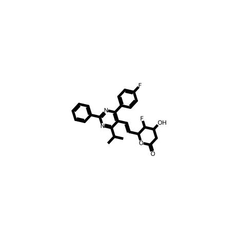 CC(C)c1nc(-c2ccccc2)nc(-c2ccc(F)cc2)c1/C=C/C1OC(=O)CC(O)C1F